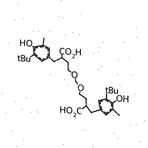 Cc1cc(CC(CCOCOCCC(Cc2cc(C)c(O)c(C(C)(C)C)c2)C(=O)O)C(=O)O)cc(C(C)(C)C)c1O